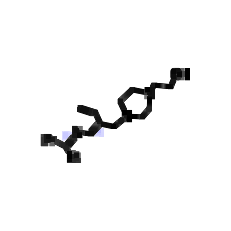 C=C/C(=C\N=C(/CC)C(C)C)CN1CCN(CCO)CC1